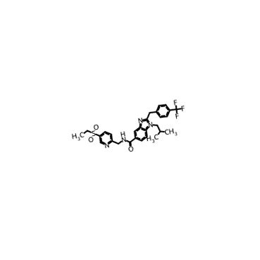 CCS(=O)(=O)c1ccc(CNC(=O)c2ccc3c(c2)nc(Cc2ccc(C(F)(F)F)cc2)n3CC(C)C)nc1